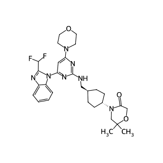 CC1(C)CN([C@H]2CC[C@H](CNc3nc(N4CCOCC4)cc(-n4c(C(F)F)nc5ccccc54)n3)CC2)C(=O)CO1